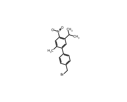 Cc1cc([N+](=O)[O-])c(C(C)C)cc1-c1ccc(CBr)cc1